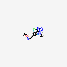 CC(C)[C@@H](C)Nc1c(-c2c(F)cc(C#CCN(C)C(=O)OC(C)(C)C)cc2F)c(Cl)nc2ncnn12